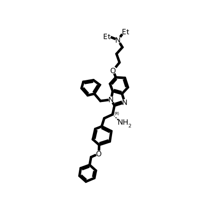 CCN(CC)CCCOc1ccc2nc([C@H](N)Cc3ccc(OCc4ccccc4)cc3)n(Cc3ccccc3)c2c1